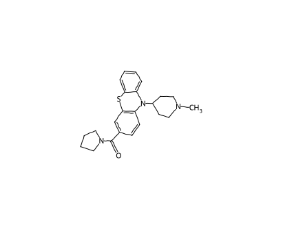 CN1CCC(N2c3ccccc3Sc3cc(C(=O)N4CCCC4)ccc32)CC1